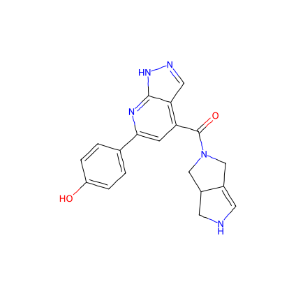 O=C(c1cc(-c2ccc(O)cc2)nc2[nH]ncc12)N1CC2=CNCC2C1